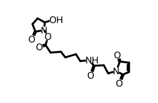 O=C(CCN1C(=O)C=CC1=O)NCCCCCC(=O)ON1C(=O)CCC1O